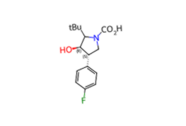 CC(C)(C)C1[C@H](O)[C@@H](c2ccc(F)cc2)CN1C(=O)O